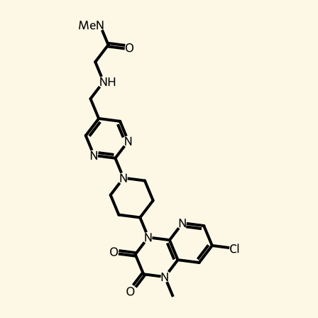 CNC(=O)CNCc1cnc(N2CCC(n3c(=O)c(=O)n(C)c4cc(Cl)cnc43)CC2)nc1